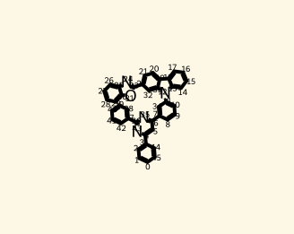 c1ccc(-c2cc(-c3cccc(-n4c5ccccc5c5ccc(-c6nc7ccccc7o6)cc54)c3)nc(-c3ccccc3)n2)cc1